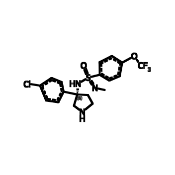 CN=S(=O)(N[C@]1(c2ccc(Cl)cc2)CCNC1)c1ccc(OC(F)(F)F)cc1